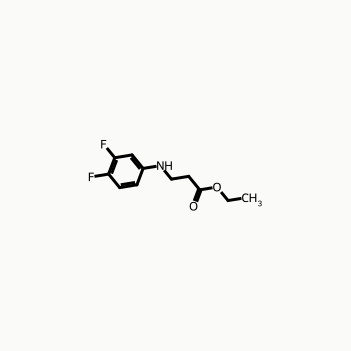 CCOC(=O)CCNc1ccc(F)c(F)c1